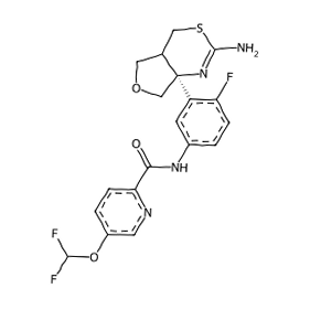 NC1=N[C@@]2(c3cc(NC(=O)c4ccc(OC(F)F)cn4)ccc3F)COCC2CS1